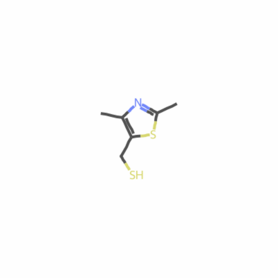 Cc1nc(C)c(CS)s1